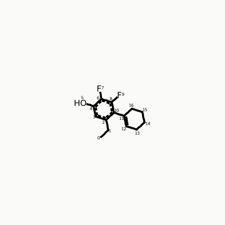 CCc1cc(O)c(F)c(F)c1C1=CCCCC1